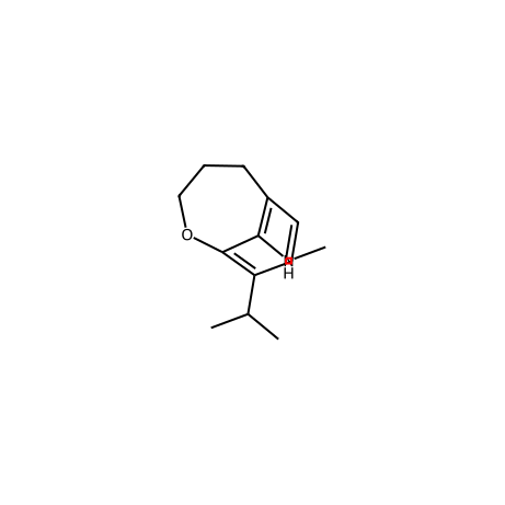 CNc1c2ccc(C(C)C)c1OCCC2